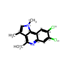 Cc1cn(C)c2c1c(C(=O)O)nc1cc(Cl)c(Cl)cc12